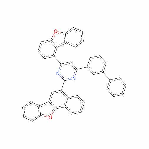 c1ccc(-c2cccc(-c3cc(-c4cccc5oc6ccccc6c45)nc(-c4cc5c6ccccc6oc5c5ccccc45)n3)c2)cc1